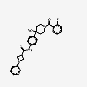 O=C(Nc1ccc(C2(O)CCN(C(=O)c3ccccc3F)CC2)cc1)C1CN(c2cccnn2)C1